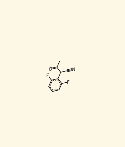 CC(=O)C(C#N)c1c(F)cccc1F